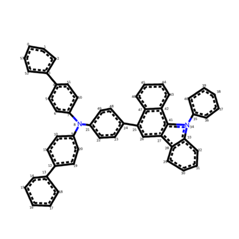 c1ccc(-c2ccc(N(c3ccc(-c4ccccc4)cc3)c3ccc(-c4cc5c6ccccc6n(-c6ccccc6)c5c5ccccc45)cc3)cc2)cc1